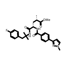 COC(=O)[C@@H](C)C[C@H](NC(=O)c1ccc(-c2ccn(C)n2)cc1)C(=O)NC(C)(C)Cc1ccc(F)cc1